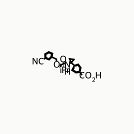 CC(C)[C@@H](OCc1cccc(C#N)c1)C(=O)NC1(c2ccc(C(=O)O)cc2)CC1